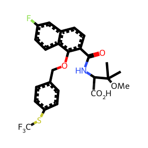 COC(C)(C)C(NC(=O)c1ccc2cc(F)ccc2c1OCc1ccc(SC(F)(F)F)cc1)C(=O)O